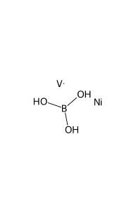 OB(O)O.[Ni].[V]